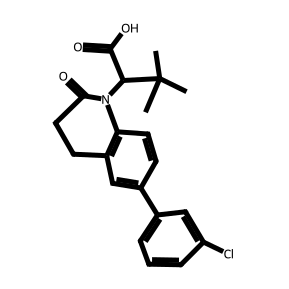 CC(C)(C)C(C(=O)O)N1C(=O)CCc2cc(-c3cccc(Cl)c3)ccc21